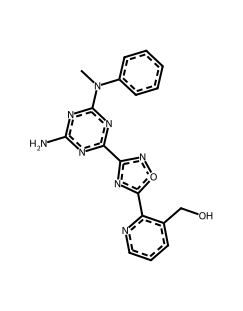 CN(c1ccccc1)c1nc(N)nc(-c2noc(-c3ncccc3CO)n2)n1